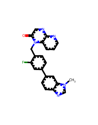 Cn1cnc2ccc(-c3ccc(Cn4c(=O)cnc5ncccc54)c(F)c3)cc21